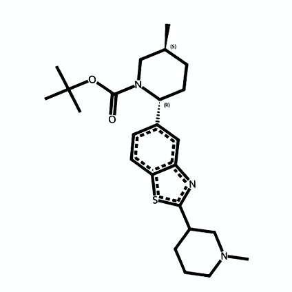 C[C@H]1CC[C@H](c2ccc3sc(C4CCCN(C)C4)nc3c2)N(C(=O)OC(C)(C)C)C1